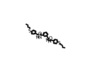 CCCCSc1ccc(-c2nnc(-c3cccc(-c4nnc(-c5ccc(SCCCC)cc5)o4)c3)o2)cc1